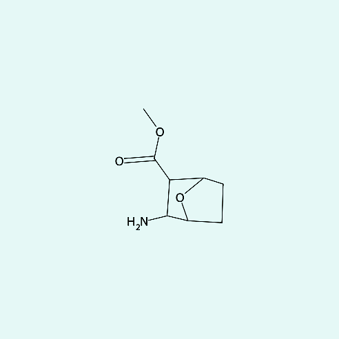 COC(=O)C1C2CCC(O2)C1N